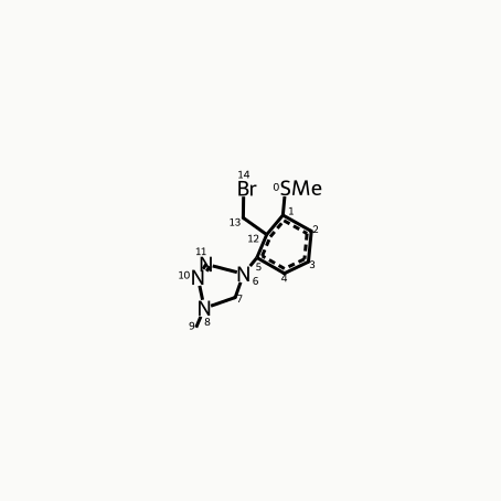 CSc1cccc(N2CN(C)N=N2)c1CBr